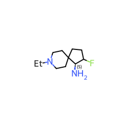 CCN1CCC2(CCC(F)[C@H]2N)CC1